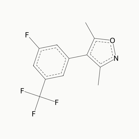 Cc1noc(C)c1-c1cc(F)cc(C(F)(F)F)c1